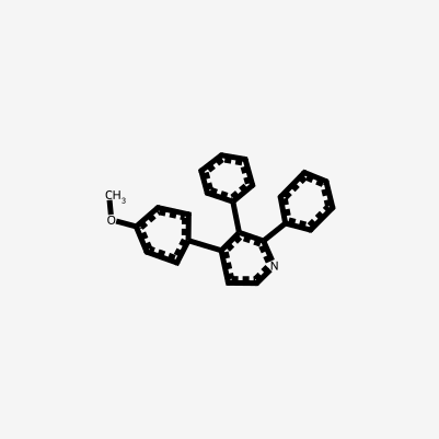 COc1ccc(-c2ccnc(-c3ccccc3)c2-c2ccccc2)cc1